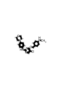 CNC1CCC(COc2nc(Nc3ccc(N4CCOCC4)cc3)ncc2Cl)CC1